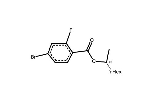 CCCCCC[C@@H](C)OC(=O)c1ccc(Br)cc1F